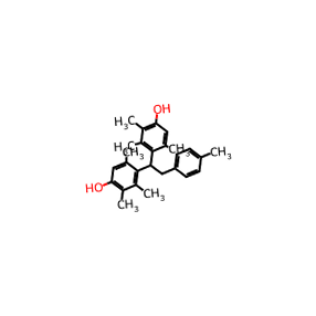 Cc1ccc(CC(c2c(C)cc(O)c(C)c2C)c2c(C)cc(O)c(C)c2C)cc1